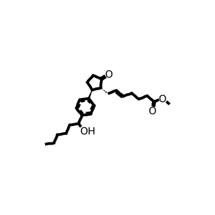 CCCCCC(O)c1ccc([C@H]2CCC(=O)[C@@H]2CC=CCCCC(=O)OC)cc1